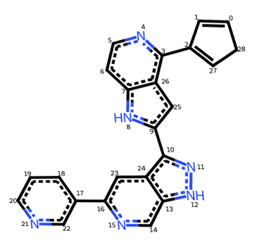 C1=CC(c2nccc3[nH]c(-c4n[nH]c5cnc(-c6cccnc6)cc45)cc23)=CC1